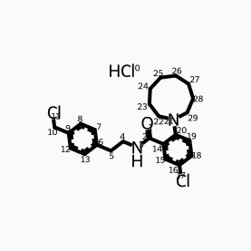 Cl.O=C(NCCc1ccc(CCl)cc1)c1cc(Cl)ccc1N1CCCCCCCC1